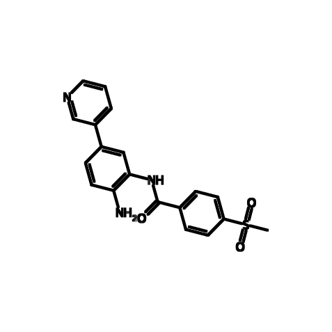 CS(=O)(=O)c1ccc(C(=O)Nc2cc(-c3cccnc3)ccc2N)cc1